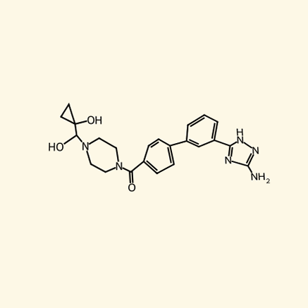 Nc1n[nH]c(-c2cccc(-c3ccc(C(=O)N4CCN(C(O)C5(O)CC5)CC4)cc3)c2)n1